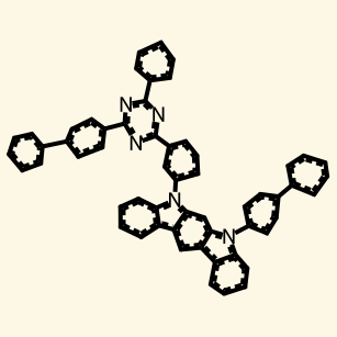 c1ccc(-c2ccc(-c3nc(-c4ccccc4)nc(-c4cccc(-n5c6ccccc6c6cc7c8ccccc8n(-c8ccc(-c9ccccc9)cc8)c7cc65)c4)n3)cc2)cc1